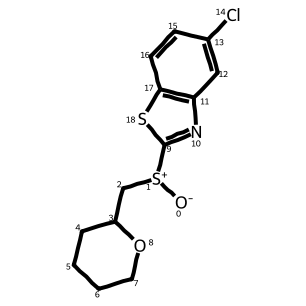 [O-][S+](CC1CCCCO1)c1nc2cc(Cl)ccc2s1